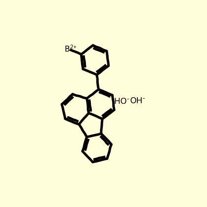 [B+2]c1cccc(-c2ccc3c4c(cccc24)-c2ccccc2-3)c1.[OH-].[OH-]